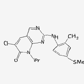 CSc1ccc(Nc2ncc3cc(Cl)c(=O)n(C(C)C)c3n2)c(C)c1